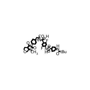 Cn1c2c(c(=O)n(-c3ccc(C[C@H](NC(=O)c4cc(F)c(NS(=O)(=O)c5ccc(NC(=O)C(C)(C)C)cc5)cc4F)C(=O)O)cc3)c1=O)CCOC2